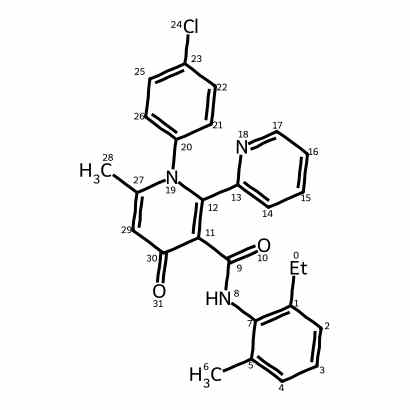 CCc1cccc(C)c1NC(=O)c1c(-c2ccccn2)n(-c2ccc(Cl)cc2)c(C)cc1=O